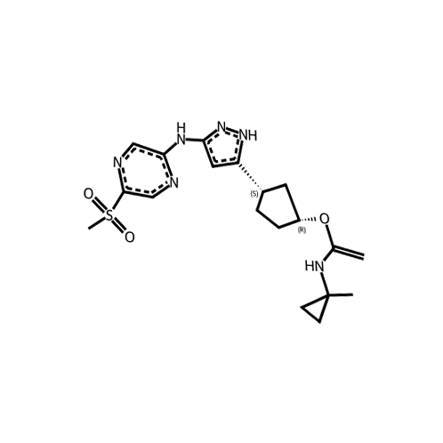 C=C(NC1(C)CC1)O[C@@H]1CC[C@H](c2cc(Nc3cnc(S(C)(=O)=O)cn3)n[nH]2)C1